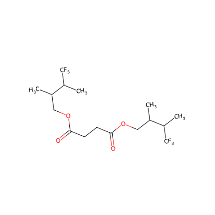 CC(COC(=O)CCC(=O)OCC(C)C(C)C(F)(F)F)C(C)C(F)(F)F